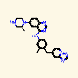 Cc1cc(Nc2ncnc3ccc(N4CCNC[C@@H]4C)cc23)ccc1Cc1ccn2ncnc2c1